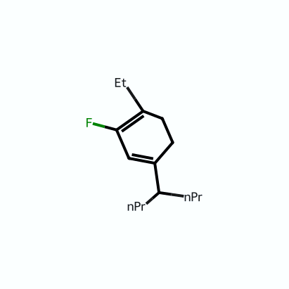 CCCC(CCC)C1=CC(F)=C(CC)CC1